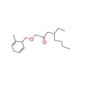 CCCCC(CC)CC(=O)COCC1C=CCC=C1C